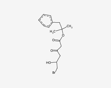 CC(C)(Cc1ccccc1)OC(=O)CC(=O)CC(O)CBr